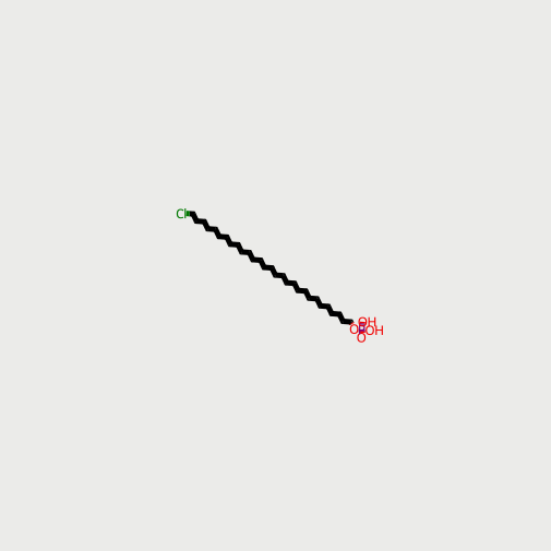 O=P(O)(O)OCCCCCCCCCCCCCCCCCCCCCCCCCCCCCCl